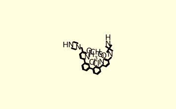 COc1nc(-c2cccc(-c3cccc(-c4ccc(CN5CC6(CNC6)C5)c(OC)n4)c3Cl)c2Cl)ccc1CN1CCNCC1